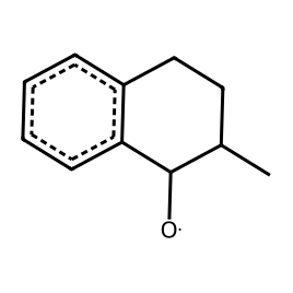 CC1CCc2ccccc2C1[O]